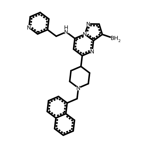 Bc1cnn2c(NCc3cccnc3)cc(C3CCN(Cc4cccc5ccccc45)CC3)nc12